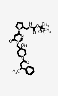 CC(CC(=O)N1CCC(O)(Cn2cnc(N3CCCC3CNC(=O)OC(C)(C)C)cc2=O)CC1)c1ccccc1